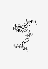 Cc1cc(OCc2ccc(CNC(=O)c3ccc(-c4c5ccc(=[N+](C)C)cc-5oc5cc(N(C)C)ccc45)c(C(=O)O)c3)cc2)nc(N)n1